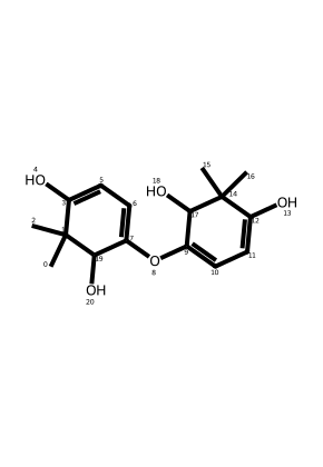 CC1(C)C(O)=CC=C(OC2=CC=C(O)C(C)(C)C2O)C1O